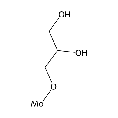 OCC(O)C[O][Mo]